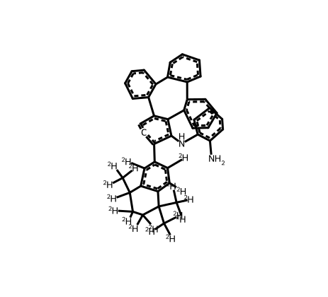 [2H]c1c([2H])c2c(c([2H])c1-c1ccc3c(c1Nc1ccccc1N)-c1ccccc1-c1ccccc1-c1ccccc1-3)C([2H])(C([2H])([2H])[2H])C([2H])([2H])C([2H])([2H])C2(C([2H])([2H])[2H])C([2H])([2H])[2H]